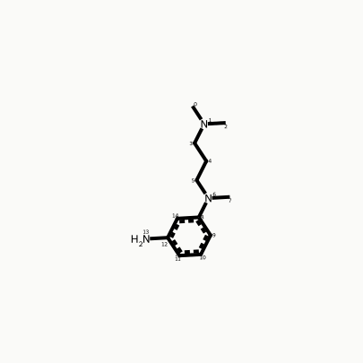 CN(C)CCCN(C)c1cc[c]c(N)c1